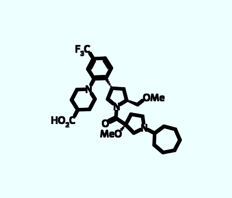 COC[C@@H]1C[C@@H](c2ccc(C(F)(F)F)cc2N2CCC(C(=O)O)CC2)CN1C(=O)[C@@]1(OC)CCN(C2CCCCCC2)C1